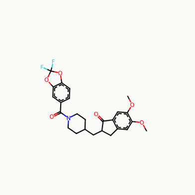 COc1cc2c(cc1OC)C(=O)C(CC1CCN(C(=O)c3ccc4c(c3)OC(F)(F)O4)CC1)C2